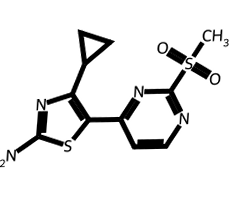 CS(=O)(=O)c1nccc(-c2sc(N)nc2C2CC2)n1